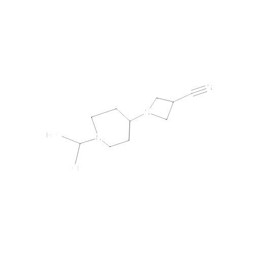 CC(C)N1CCC(N2CC(C#N)C2)CC1